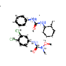 CC1CCCCC1NC(=O)Nc1ccccc1.CON(C)C(=O)Nc1ccc(Cl)c(Cl)c1